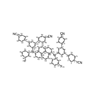 N#Cc1ccc(-c2cc(-c3ccc(C#N)cc3)cc(N(c3cccc(F)c3)c3ccc4ccc5c(N(c6cccc(F)c6)c6cc(-c7ccc(C#N)cc7)cc(-c7ccc(C#N)cc7)c6)ccc6ccc3c4c65)c2)cc1